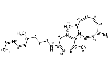 C/C=N\C=C/C(C)CCCNC1=NC=C(C#N)C(N2/C=N\C(CC)/C=C\C=C/C2C)=NC1